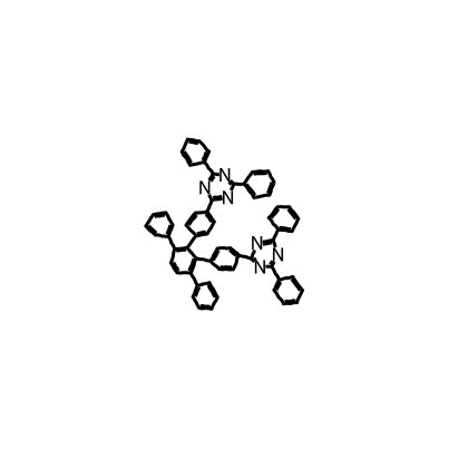 c1ccc(-c2nc(-c3ccccc3)nc(-c3ccc(-c4c(-c5ccccc5)ccc(-c5ccccc5)c4-c4ccc(-c5nc(-c6ccccc6)nc(-c6ccccc6)n5)cc4)cc3)n2)cc1